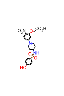 O=C(O)COc1cc(N2CCC(NS(=O)(=O)c3ccc(O)cc3)CC2)ccc1[N+](=O)[O-]